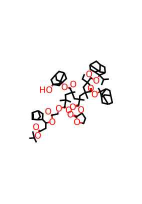 CCC(C)(CC(C)(CC(C)(CC(C)(CC(C)(C)C(=O)OCC(=O)OC(CC(=O)OC(C)(C)C)C1CC2C=CC1C2)C(=O)OC12CC3CC(CC(O)(C3)C1)C2)C(=O)OC1CCOC1=O)C(=O)OC1(C)C2CC3CC(C2)CC1C3)C(=O)OC1(C(C)C)C2CC3CC(C2)CC1C3